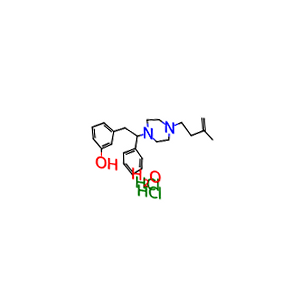 C=C(C)CCN1CCN(C(Cc2cccc(O)c2)c2ccccc2)CC1.Cl.Cl.O